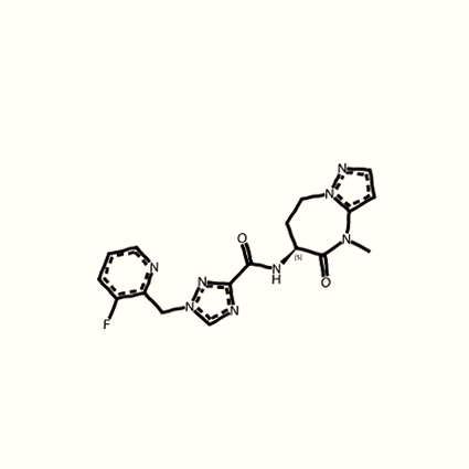 CN1C(=O)[C@@H](NC(=O)c2ncn(Cc3ncccc3F)n2)CCn2nccc21